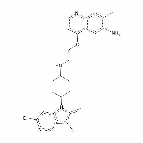 Cc1cc2nccc(OCCNC3CCC(n4c(=O)n(C)c5cnc(Cl)cc54)CC3)c2cc1N